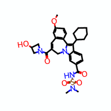 COc1ccc2c(c1)C=C(C(=O)N1CC(O)C1)Cn1c-2c(C2CCCCC2)c2ccc(C(=O)NS(=O)(=O)N(C)C)cc21